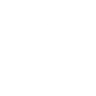 CC/C=C\C/C=C\C/C=C\CCCCCCCC(=O)O.[PbH2]